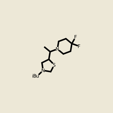 CCC(C)N1CSC(C(C)N2CCC(F)(F)CC2)C1